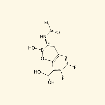 CCC(=O)N[C@H]1Cc2cc(F)c(F)c(C(O)O)c2OB1O